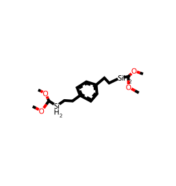 COC(OC)[SiH2]CCc1ccc(CC[SiH2]C(OC)OC)cc1